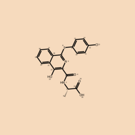 C[C@H](NC(=O)c1nc(Sc2ccc(Cl)cc2)c2ccccc2c1O)C(=O)O